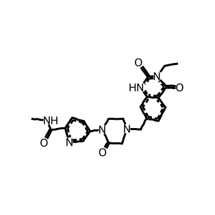 CCn1c(=O)[nH]c2cc(CN3CCN(c4ccc(C(=O)NC)nc4)C(=O)C3)ccc2c1=O